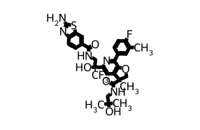 Cc1cc(-c2nc([C@@](O)(CNC(=O)c3ccc4nc(N)sc4c3)C(F)(F)F)cc3c2OC[C@]3(C)C(=O)NCC(C)(C)O)ccc1F